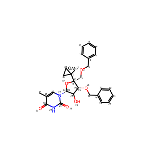 COC1([C@]2(COCc3ccccc3)O[C@@H](n3cc(C)c(=O)[nH]c3=O)C(O)[C@H]2OCc2ccccc2)CC1